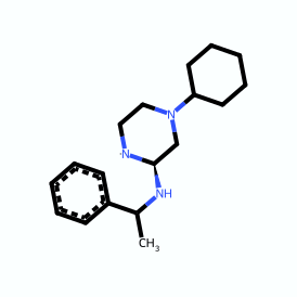 CC(N[C@@H]1CN(C2CCCCC2)CC[N]1)c1ccccc1